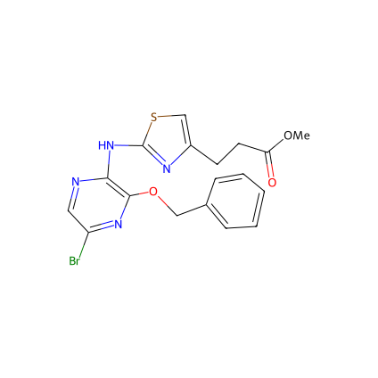 COC(=O)CCc1csc(Nc2ncc(Br)nc2OCc2ccccc2)n1